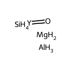 [AlH3].[MgH2].[O]=[Y].[SiH4]